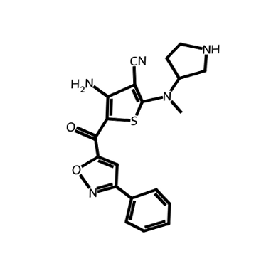 CN(c1sc(C(=O)c2cc(-c3ccccc3)no2)c(N)c1C#N)C1CCNC1